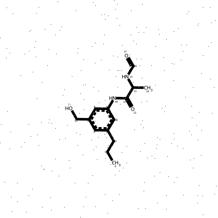 CCCc1cc(CO)cc(NC(=O)C(C)NC=O)c1